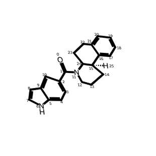 O=C(c1ccc2[nH]ccc2c1)N1CCC[C@@H]2c3ccccc3CCC21